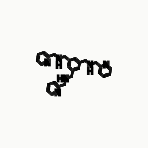 c1ccc(CNCc2cc(CNCc3ccccn3)cc(CNCc3ccccn3)c2)nc1